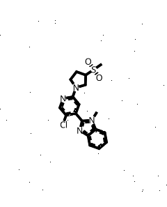 Cn1c(-c2cc(N3CCC(S(C)(=O)=O)C3)ncc2Cl)nc2ccccc21